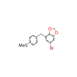 CSc1ccc(Cc2cc(Br)cc3c2OCO3)cc1